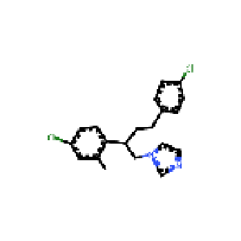 Cc1cc(Cl)ccc1C(CCc1ccc(Cl)cc1)Cn1ccnc1